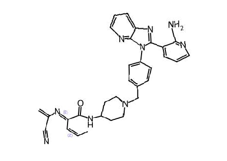 C=C(C#N)/N=C(\C=C/C)C(=O)NC1CCN(Cc2ccc(-n3c(-c4cccnc4N)nc4cccnc43)cc2)CC1